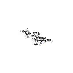 CO/N=C(\C(=O)N[C@@H]1C(=O)N2C(C(=O)O)=C(CSc3nc(=O)c(O)nn3C)C[S@+]([O-])[C@H]12)c1csc(N)n1